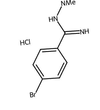 CNNC(=N)c1ccc(Br)cc1.Cl